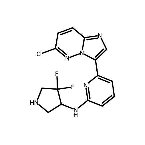 FC1(F)CNCC1Nc1cccc(-c2cnc3ccc(Cl)nn23)n1